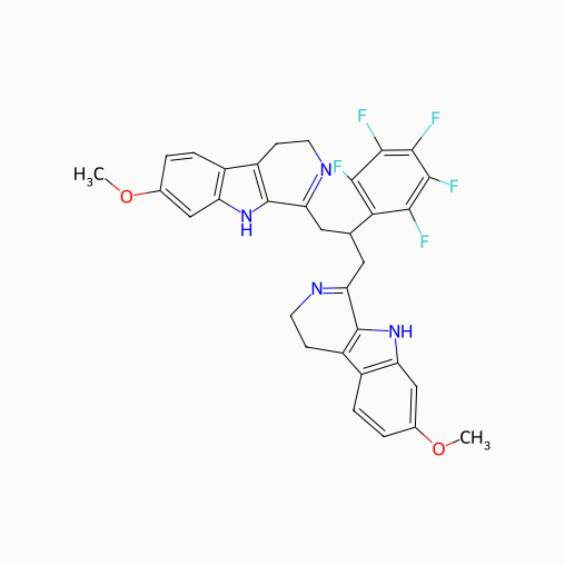 COc1ccc2c3c([nH]c2c1)C(CC(CC1=NCCc2c1[nH]c1cc(OC)ccc21)c1c(F)c(F)c(F)c(F)c1F)=NCC3